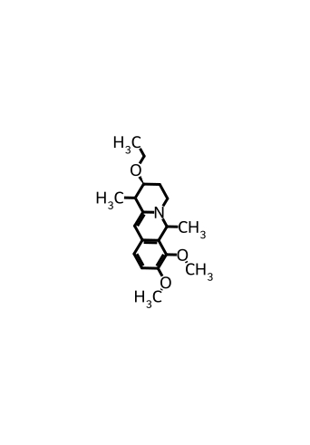 CCO[C@H]1CCN2C(=Cc3ccc(OC)c(OC)c3C2C)C1C